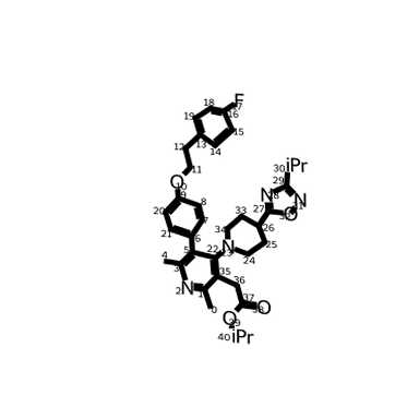 Cc1nc(C)c(-c2ccc(OCCc3ccc(F)cc3)cc2)c(N2CCC(c3nc(C(C)C)no3)CC2)c1CC(=O)OC(C)C